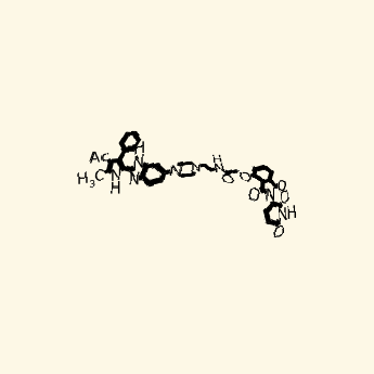 CC(=O)c1c(C)[nH]c(-c2nc3ccc(N4CCN(CCNC(=O)COc5cccc6c5C(=O)N(C5CCC(=O)NC5=O)C6=O)CC4)cc3[nH]2)c1-c1ccccc1